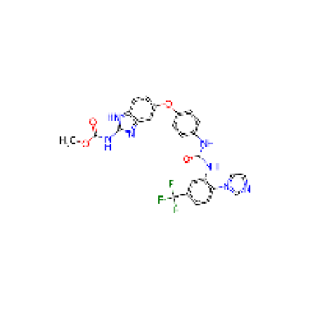 COC(=O)Nc1nc2cc(Oc3ccc(NC(=O)Nc4cc(C(F)(F)F)ccc4-n4ccnc4)cc3)ccc2[nH]1